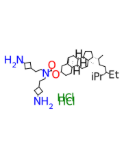 CCC(CCC(C)[C@H]1CC[C@H]2[C@@H]3CC=C4C[C@@H](OC(=O)N(CCC5CC(N)C5)CCC5CC(N)C5)CC[C@]4(C)[C@H]3CC[C@]12C)C(C)C.Cl.Cl